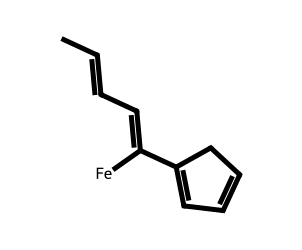 CC=CC=[C]([Fe])C1=CC=CC1